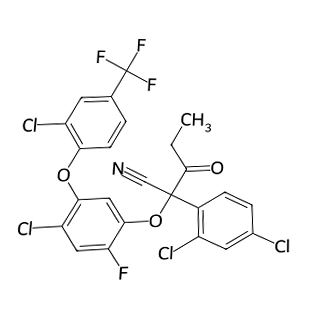 CCC(=O)C(C#N)(Oc1cc(Oc2ccc(C(F)(F)F)cc2Cl)c(Cl)cc1F)c1ccc(Cl)cc1Cl